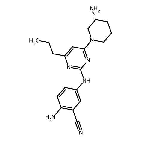 CCCc1cc(N2CCC[C@@H](N)C2)nc(Nc2ccc(N)c(C#N)c2)n1